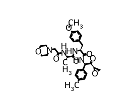 COc1ccc(C[C@H](NC(=O)[C@H](C)NC(=O)CN2CCOCC2)C(=O)N[C@@H](C(=O)[C@H]2CO2)c2ccc(C)cc2)cc1